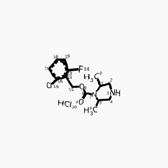 CC1CNCC(C)N1C(=O)OCc1c(F)cccc1Cl.Cl